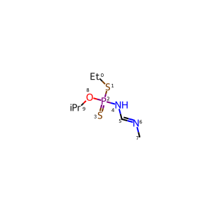 CCSP(=S)(NC=NC)OC(C)C